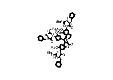 COc1cc(-c2c3c4cc(OC)c(OC(=O)[C@H](Cc5ccccc5)NC(=O)OC(C)(C)C)cc4oc(=O)c3n3ccc4cc(OC(=O)[C@H](Cc5ccccc5)NC(=O)OC(C)(C)C)c(OC)cc4c23)ccc1OC(=O)[C@H](Cc1ccccc1)NC(=O)OC(C)(C)C